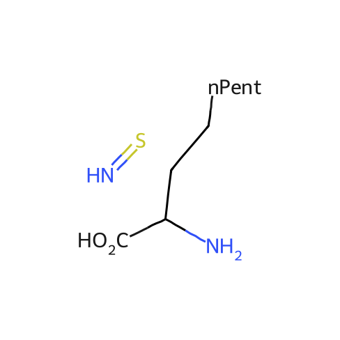 CCCCCCCC(N)C(=O)O.N=S